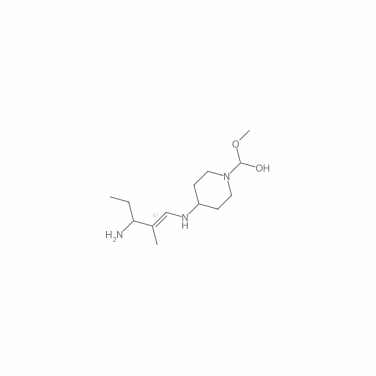 CCC(N)/C(C)=C/NC1CCN(C(O)OC)CC1